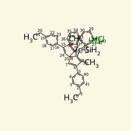 CCc1ccc(C2=CC[C]([Zr](=[SiH2])([C]3=C(C)C(c4ccc(CC)cc4)=CC3)([c]3ccccc3)[c]3ccccc3)=C2C)cc1.Cl.Cl